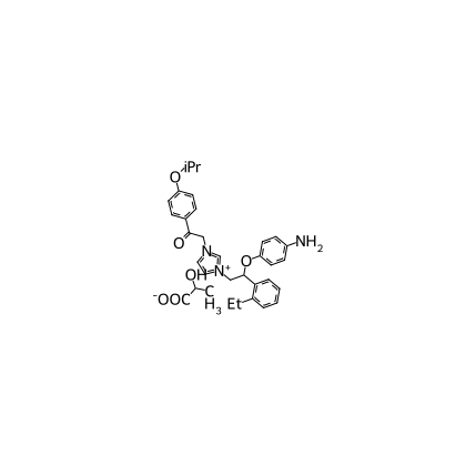 CC(O)C(=O)[O-].CCc1ccccc1C(C[n+]1ccn(CC(=O)c2ccc(OC(C)C)cc2)c1)Oc1ccc(N)cc1